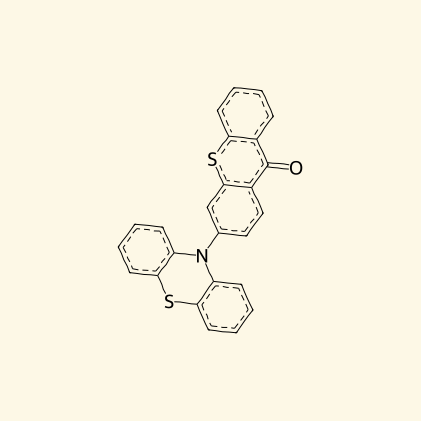 O=c1c2ccccc2sc2cc(N3c4ccccc4Sc4ccccc43)ccc12